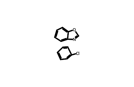 Clc1ccccc1.c1ccc2ocnc2c1